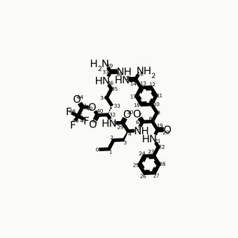 CCCC[C@H](NC(=O)C(Cc1ccc(C(=N)N)cc1)C(=O)NCc1ccccc1)C(=O)N[C@@H](CCCNC(=N)N)C(=O)OC(=O)C(F)(F)F